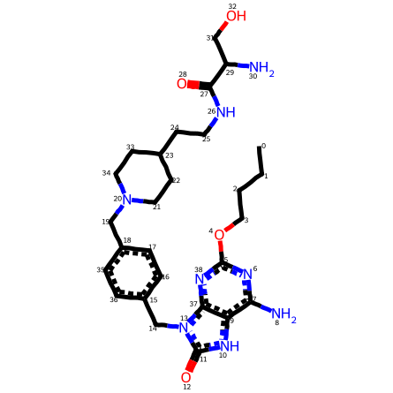 CCCCOc1nc(N)c2[nH]c(=O)n(Cc3ccc(CN4CCC(CCNC(=O)C(N)CO)CC4)cc3)c2n1